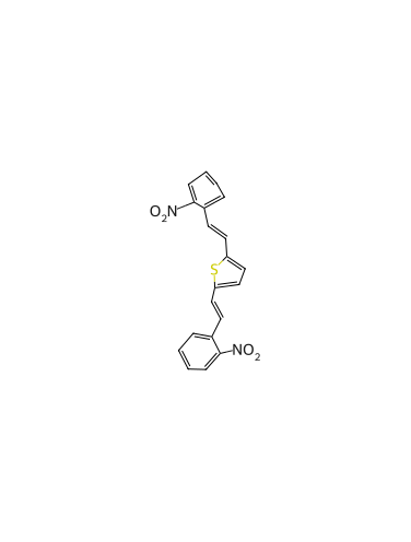 O=[N+]([O-])c1ccccc1/C=C/c1ccc(/C=C/c2ccccc2[N+](=O)[O-])s1